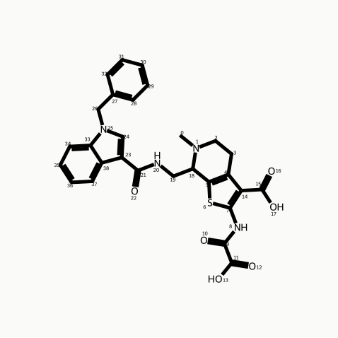 CN1CCc2c(sc(NC(=O)C(=O)O)c2C(=O)O)C1CNC(=O)c1cn(Cc2ccccc2)c2ccccc12